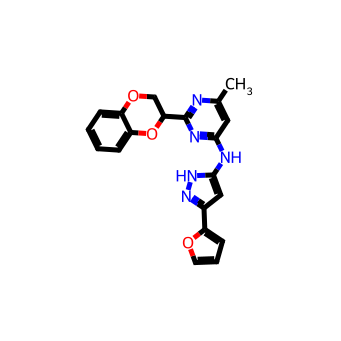 Cc1cc(Nc2cc(-c3ccco3)n[nH]2)nc(C2COc3ccccc3O2)n1